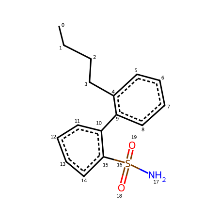 CCCCc1ccccc1-c1ccccc1S(N)(=O)=O